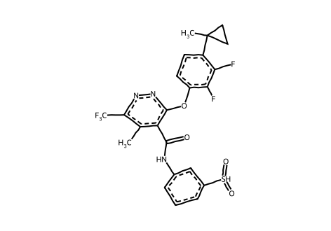 Cc1c(C(F)(F)F)nnc(Oc2ccc(C3(C)CC3)c(F)c2F)c1C(=O)Nc1cccc([SH](=O)=O)c1